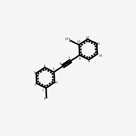 Cc1cccc(C#Cc2ccccc2I)c1